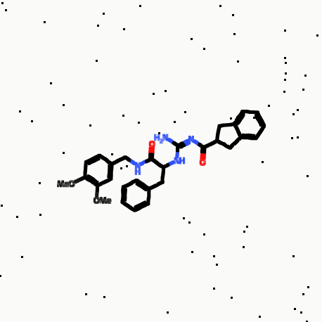 COc1ccc(CNC(=O)C(Cc2ccccc2)NC(N)=NC(=O)C2Cc3ccccc3C2)cc1OC